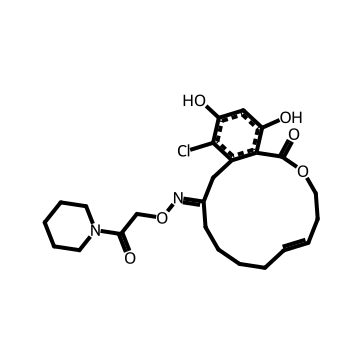 O=C1OCC/C=C/CCCC/C(=N\OCC(=O)N2CCCCC2)Cc2c(Cl)c(O)cc(O)c21